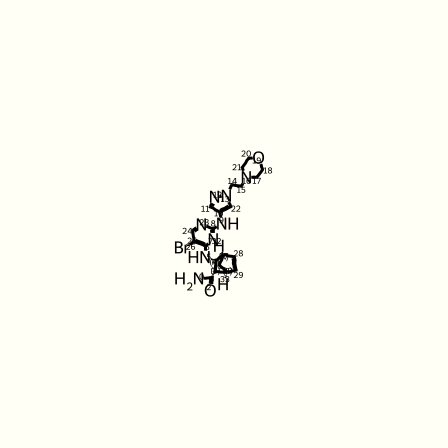 NC(=O)[C@@H]1[C@H](Nc2nc(Nc3cnn(CCN4CCOCC4)c3)ncc2Br)[C@H]2C=C[C@@H]1C2